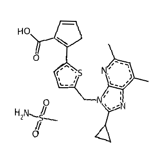 CS(N)(=O)=O.Cc1cc(C)c2nc(C3CC3)n(Cc3ccc(C4=C(C(=O)O)C=CC4)s3)c2n1